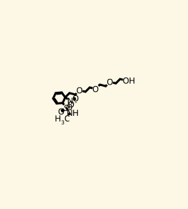 CNS(=O)(=O)C1C=CC=CC1(CCOCCOCCOCCO)[N+](=O)[O-]